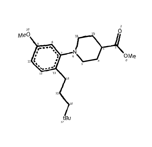 COC(=O)C1CCN(c2cc(OC)ccc2CCCC(C)(C)C)CC1